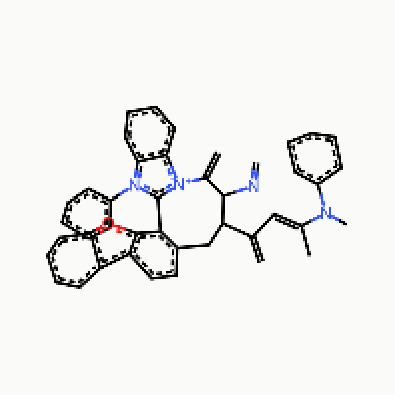 C=NC1C(=C)[n+]2c(n(-c3ccccc3)c3ccccc32)-c2c(ccc3c2oc2ccccc23)CC1C(=C)/C=C(\C)N(C)c1ccccc1